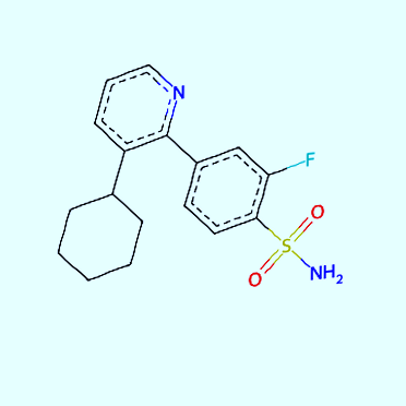 NS(=O)(=O)c1ccc(-c2ncccc2C2CCCCC2)cc1F